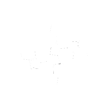 CCCCN1C(=O)C2=C(c3ccc(OC)n3C)N(CCCC)C(=O)C2=C1c1ccc(OC)n1C